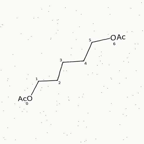 CC(=O)OCCCCCOC(C)=O